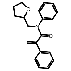 C=C(C(=O)N(CC1CCCO1)c1ccccc1)c1ccccc1